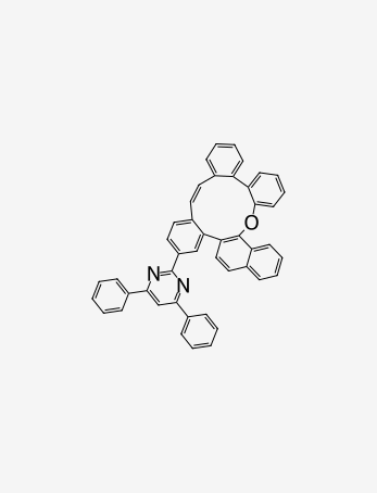 C1=C\c2ccc(-c3nc(-c4ccccc4)cc(-c4ccccc4)n3)cc2-c2ccc3ccccc3c2Oc2ccccc2-c2ccccc2/1